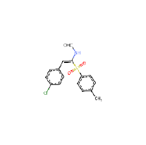 Cc1ccc(S(=O)(=O)/C(=C\c2ccc(Cl)cc2)NC=O)cc1